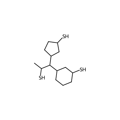 CC(S)C(C1CCCC(S)C1)C1CCC(S)C1